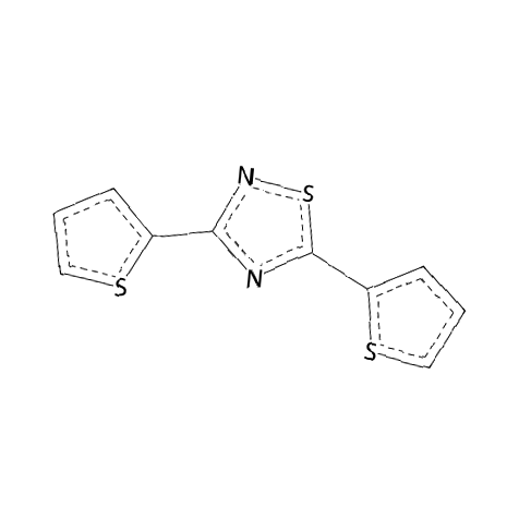 c1csc(-c2nsc(-c3cccs3)n2)c1